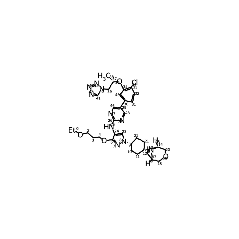 CCOCCCOc1nn([C@H]2CC[C@H](N3[C@@H]4CC[C@H]3COC4)CC2)cc1Nc1ncc(-c2ccc(Cl)c(O[C@@H](C)Cn3cnnn3)c2)cn1